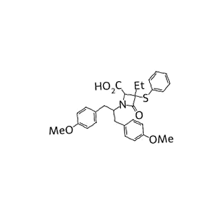 CCC1(Sc2ccccc2)C(=O)N(C(Cc2ccc(OC)cc2)Cc2ccc(OC)cc2)C1C(=O)O